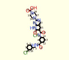 O=C(NCc1cccc(Cl)c1)c1cccc(N(Cl)C(=O)c2cc3cnc(N4CCN(C(=O)O)CC4)nc3[nH]c2=O)c1